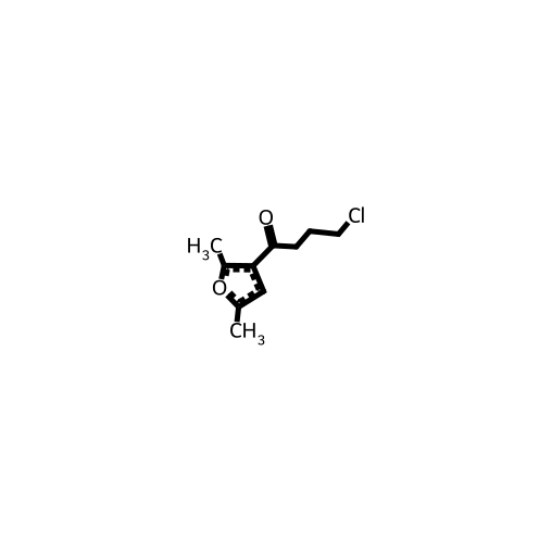 Cc1cc(C(=O)CCCCl)c(C)o1